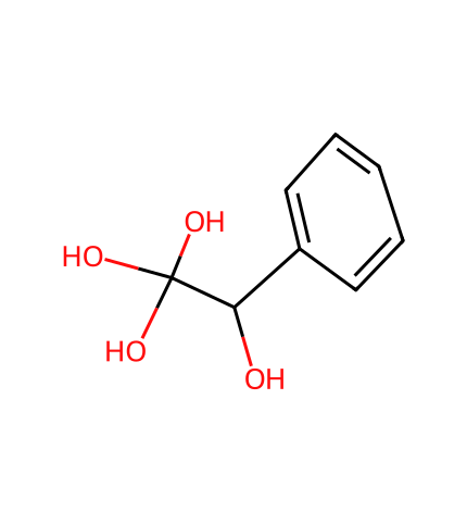 OC(c1ccccc1)C(O)(O)O